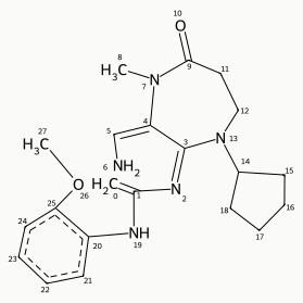 C=C(/N=C1\C(=C/N)N(C)C(=O)CCN1C1CCCC1)Nc1ccccc1OC